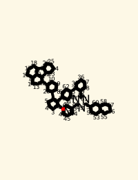 N#Cc1cccc(-c2cccc(-c3ccc4cccc5c4c3-c3ccccc3-5)c2)c1-c1ccc(-c2ccccc2-c2nc(-c3ccccc3)nc(-c3ccc4ccccc4c3)n2)cc1